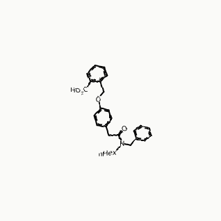 CCCCCCN(Cc1ccccc1)C(=O)Cc1ccc(OCc2ccccc2C(=O)O)cc1